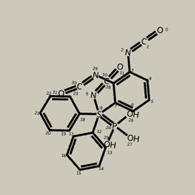 O=C=Nc1cccc(S(N=C=O)(c2ccccc2)(c2ccccc2)=P(O)(O)O)c1N=C=O